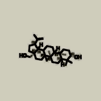 C=C(C)[C@@H]1CC[C@]2(CO)CC[C@]3(C)C(CC[C@@H]4[C@@]5(C)CC[C@H](O)C(C)(C)[C@@H]5CC[C@]43C)[C@@H]12